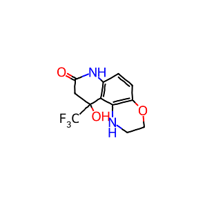 O=C1CC(O)(C(F)(F)F)c2c(ccc3c2NCCO3)N1